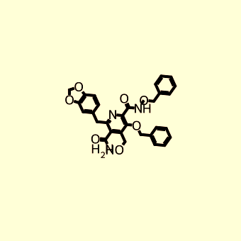 NC(=O)c1c(Cc2ccc3c(c2)OCO3)nc(C(=O)NOCc2ccccc2)c(OCc2ccccc2)c1CO